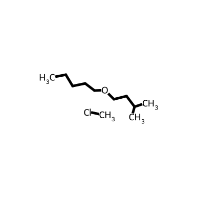 CCCCCOCCC(C)C.CCl